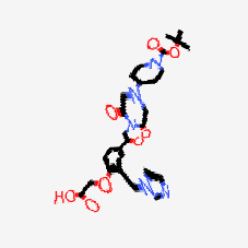 CC(C)(C)OC(=O)N1CCC(N2CC(=O)N(CC(=O)c3ccc(OCC(=O)O)c(Cn4ccnc4)c3)C(=O)C2)CC1